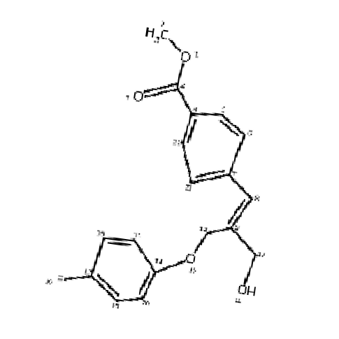 COC(=O)c1ccc(C=C(CO)COc2ccc(F)cc2)cc1